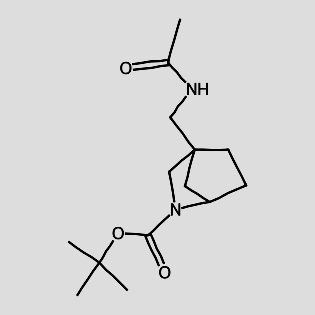 CC(=O)NCC12CCC(C1)N(C(=O)OC(C)(C)C)C2